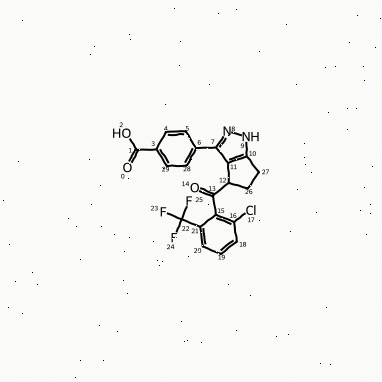 O=C(O)c1ccc(-c2n[nH]c3c2C(C(=O)c2c(Cl)cccc2C(F)(F)F)CC3)cc1